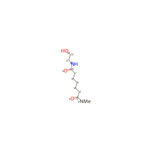 CNC(=O)CCCCCC(=O)NCCO